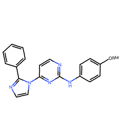 COc1ccc(Nc2nccc(-n3ccnc3-c3ccccc3)n2)cc1